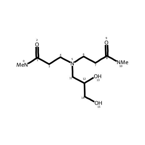 CNC(=O)CCN(CCC(=O)NC)CC(O)CO